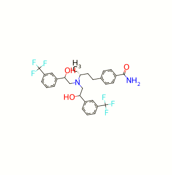 C[C@H](CCc1ccc(C(N)=O)cc1)N(CC(O)c1cccc(C(F)(F)F)c1)CC(O)c1cccc(C(F)(F)F)c1